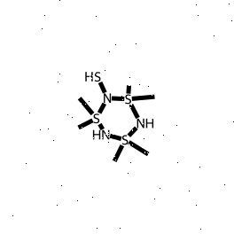 CS1(C)NS(C)(C)N(S)S(C)(C)N1